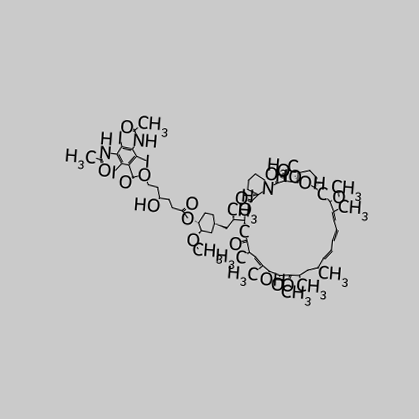 CO[C@H]1C[C@@H]2CC[C@@H](C)[C@@](O)(O2)C(=O)C(=O)N2CCCC[C@H]2C(=O)O[C@H]([C@H](C)C[C@@H]2CC[C@@H](OC(=O)CCC(O)CCOC(=O)c3c(I)c(NC(C)=O)c(I)c(NC(C)=O)c3I)[C@H](OC)C2)CC(=O)[C@H](C)/C=C(\C)[C@@H](O)[C@@H](OC)C(=O)[C@H](C)C[C@H](C)/C=C/C=C/C=C/1C